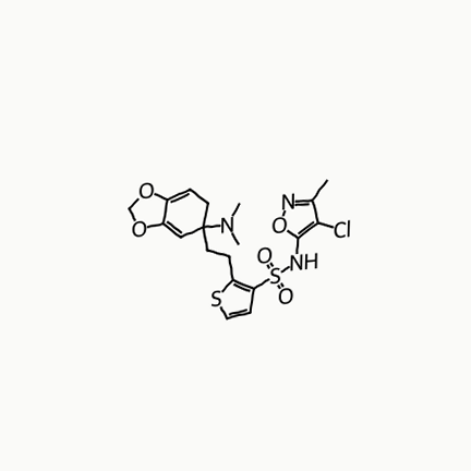 Cc1noc(NS(=O)(=O)c2ccsc2CCC2(N(C)C)C=C3OCOC3=CC2)c1Cl